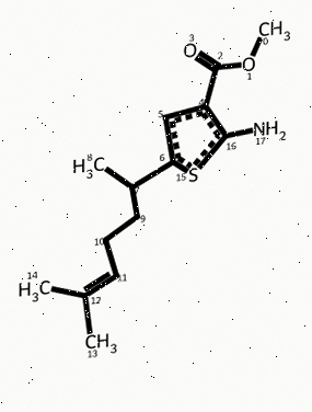 COC(=O)c1cc(C(C)CCC=C(C)C)sc1N